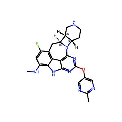 CNc1cc(F)c2c3c1[nH]c1nc(Oc4cnc(C)nc4)nc(c13)N1[C@H]3CCNC[C@H]3[C@@H]1C2